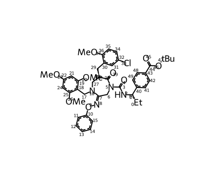 CC[C@@H](NC(=O)N1CC(=NOc2ccccc2)N(Cc2c(OC)cc(OC)cc2OC)C[C@@H](Cc2cc(Cl)ccc2OC)C1=O)c1ccc(C(=O)OC(C)(C)C)cc1